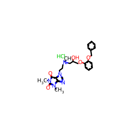 CN(CCCn1cnc2c1c(=O)n(C)c(=O)n2C)CC(O)COc1ccccc1OCc1ccccc1.Cl